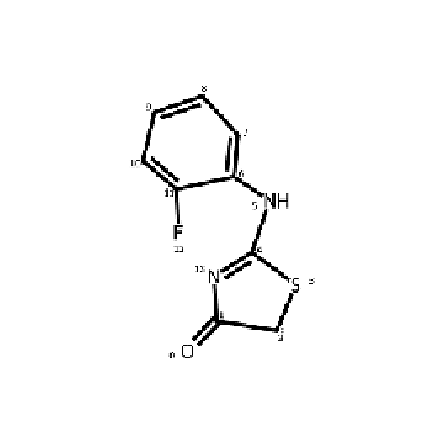 O=C1[C]SC(Nc2ccccc2F)=N1